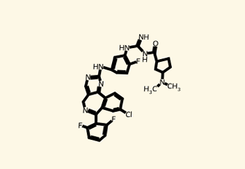 CN(C)C1CCC(C(=O)NC(=N)Nc2cc(Nc3ncc4c(n3)-c3ccc(Cl)cc3C(c3c(F)cccc3F)=NC4)ccc2F)C1